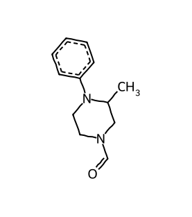 CC1CN(C=O)CCN1c1ccccc1